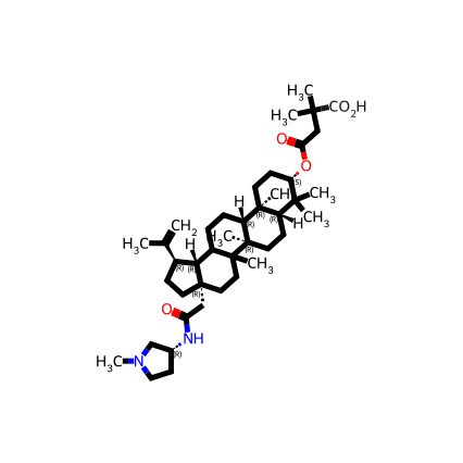 C=C(C)[C@@H]1CC[C@]2(CC(=O)N[C@@H]3CCN(C)C3)CCC3(C)C(CC[C@@H]4[C@@]5(C)CC[C@H](OC(=O)CC(C)(C)C(=O)O)C(C)(C)[C@@H]5CC[C@]43C)[C@@H]12